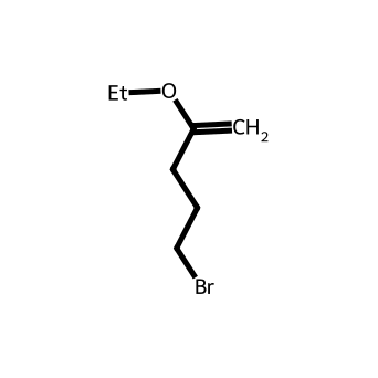 C=C(CCCBr)OCC